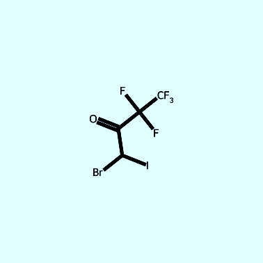 O=C(C(Br)I)C(F)(F)C(F)(F)F